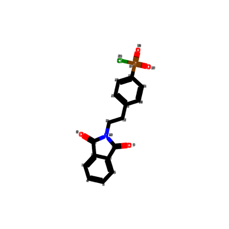 O=C1c2ccccc2C(=O)N1CCc1ccc(S(=O)(=O)Cl)cc1